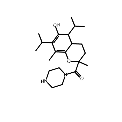 CC1=C2OC(C)(C(=O)N3CCNCC3)CCC2C(C(C)C)C(O)=C1C(C)C